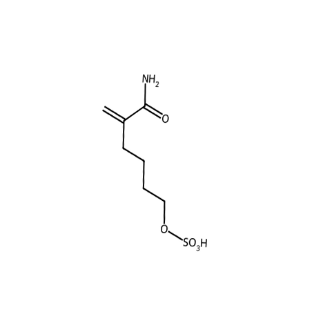 C=C(CCCCOS(=O)(=O)O)C(N)=O